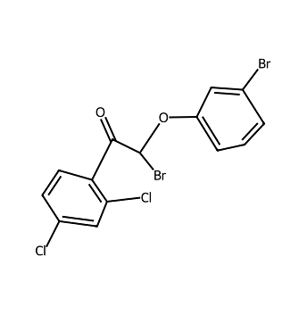 O=C(c1ccc(Cl)cc1Cl)C(Br)Oc1cccc(Br)c1